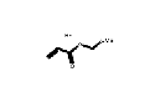 C=CC(=O)OCOC.F